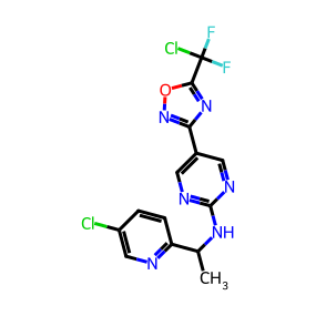 CC(Nc1ncc(-c2noc(C(F)(F)Cl)n2)cn1)c1ccc(Cl)cn1